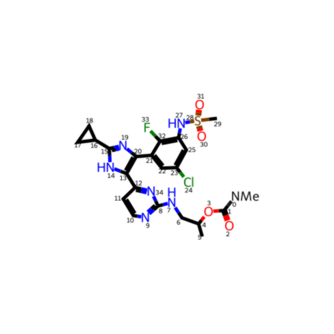 CNC(=O)OC(C)CNc1nccc(-c2[nH]c(C3CC3)nc2-c2cc(Cl)cc(NS(C)(=O)=O)c2F)n1